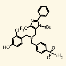 CCCCn1c(-c2ccccc2)nc(C(F)(F)F)c1CN(Cc1ccc(S(N)(=O)=O)cc1)Cc1ccc(O)cc1Cl